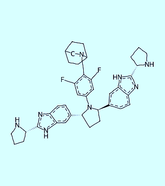 Fc1cc(N2[C@@H](c3ccc4nc([C@@H]5CCCN5)[nH]c4c3)CC[C@@H]2c2ccc3nc([C@@H]4CCCN4)[nH]c3c2)cc(F)c1N1CC2CCC1CC2